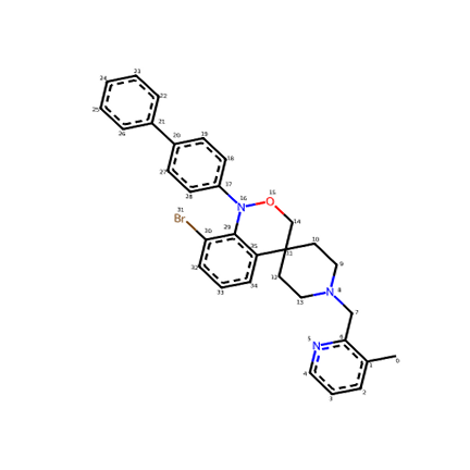 Cc1cccnc1CN1CCC2(CC1)CON(c1ccc(-c3ccccc3)cc1)c1c(Br)cccc12